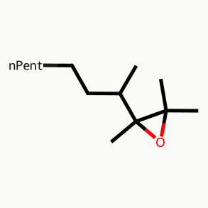 CCCCCCCC(C)C1(C)OC1(C)C